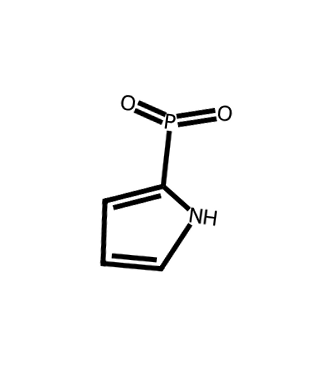 O=P(=O)c1ccc[nH]1